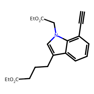 C#Cc1cccc2c(CCCC(=O)OCC)cn(CC(=O)OCC)c12